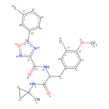 N#CC1(NC(=O)C(Cc2ccc(OC(F)(F)F)c(Cl)c2)NC(=O)c2noc(-c3cccc(F)c3)n2)CC1